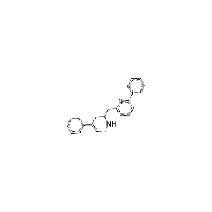 C1=C(c2ccccc2)CC(Cc2cccc(-c3ccccc3)n2)NC1